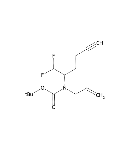 C#CCCC(C(F)F)N(CC=C)C(=O)OC(C)(C)C